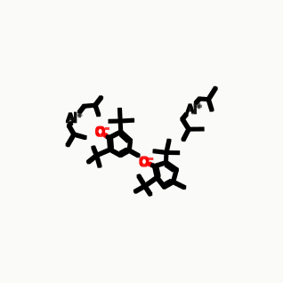 CC(C)[CH2][Al+][CH2]C(C)C.CC(C)[CH2][Al+][CH2]C(C)C.Cc1cc(C(C)(C)C)c([O-])c(C(C)(C)C)c1.Cc1cc(C(C)(C)C)c([O-])c(C(C)(C)C)c1